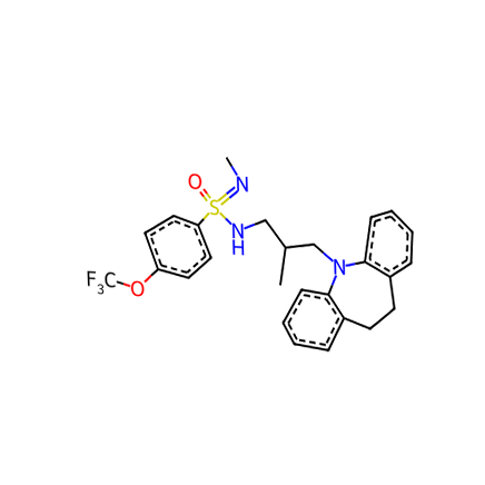 CN=S(=O)(NCC(C)CN1c2ccccc2CCc2ccccc21)c1ccc(OC(F)(F)F)cc1